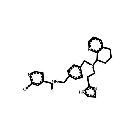 O=C(NCc1ccc(CN(CCc2ncc[nH]2)C2CCCc3cccnc32)cc1)c1ccnc(Cl)c1